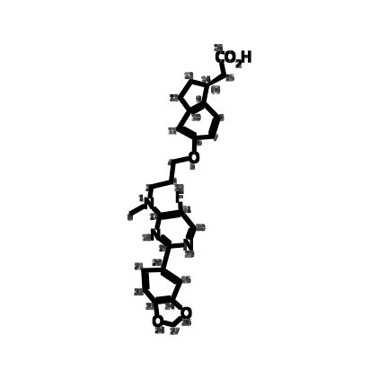 CN(CCCOc1ccc2c(c1)CC[C@H]2CC(=O)O)c1nc(-c2ccc3c(c2)OCO3)ncc1F